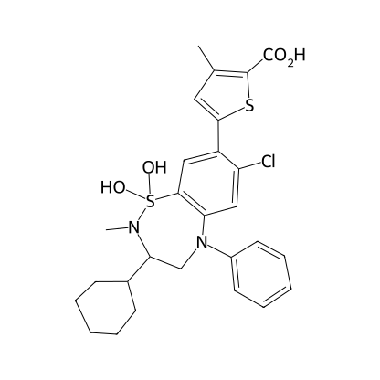 Cc1cc(-c2cc3c(cc2Cl)N(c2ccccc2)CC(C2CCCCC2)N(C)S3(O)O)sc1C(=O)O